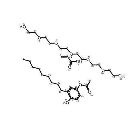 C=CC(=O)O.CCCCCCCCCc1cc(OC(C)=O)ccc1O.OCCOCCOCCOCCOCCOCCO